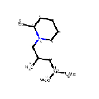 CCC1CCCCN1CC(C)C[SiH](OC)OC